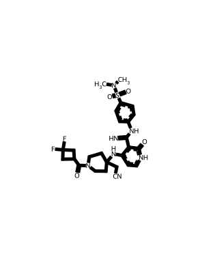 CN(C)S(=O)(=O)c1ccc(NC(=N)c2c(NC3(CC#N)CCN(C(=O)C4CC(F)(F)C4)CC3)cc[nH]c2=O)cc1